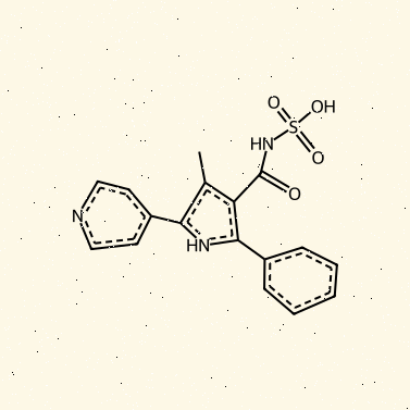 Cc1c(-c2ccncc2)[nH]c(-c2ccccc2)c1C(=O)NS(=O)(=O)O